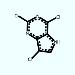 Clc1nc(Cl)c2[nH]cc(Cl)c2n1